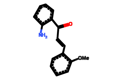 COc1ccccc1C=CC(=O)c1ccccc1N